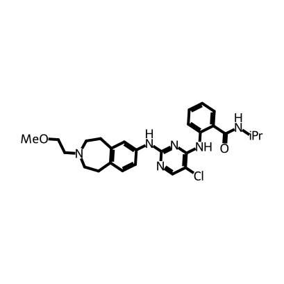 COCCN1CCc2ccc(Nc3ncc(Cl)c(Nc4ccccc4C(=O)NC(C)C)n3)cc2CC1